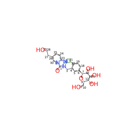 O=c1n(Cc2cc([C@@H]3O[C@H](CO)[C@@H](O)[C@H](O)[C@H]3O)ccc2Cl)nc2ccc(CCO)cn12